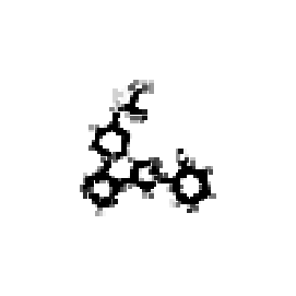 O=C(O)NC1CCN(c2cncnc2-c2cnn(-c3ccccc3F)c2)CC1